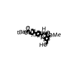 COc1cc(CO)cc2nc(-c3ccc(C4CCN(C(=O)OC(C)(C)C)CC4)cc3)[nH]c(=O)c12